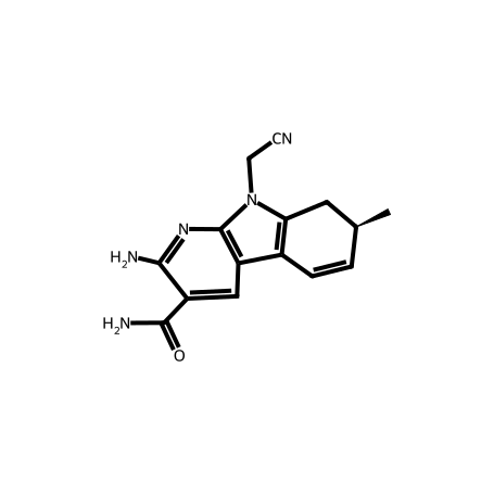 C[C@H]1C=Cc2c(n(CC#N)c3nc(N)c(C(N)=O)cc23)C1